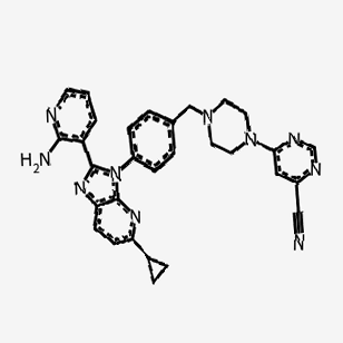 N#Cc1cc(N2CCN(Cc3ccc(-n4c(-c5cccnc5N)nc5ccc(C6CC6)nc54)cc3)CC2)ncn1